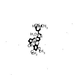 C#CC/C(=C\N(C)C)C/C=N\c1cc/c(=N\c2c(F)c(OC)cc(OC)c2F)n(CC2CCC(=O)N2)c1N=C